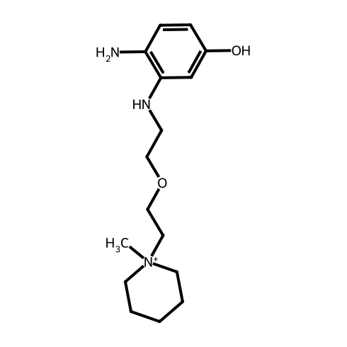 C[N+]1(CCOCCNc2cc(O)ccc2N)CCCCC1